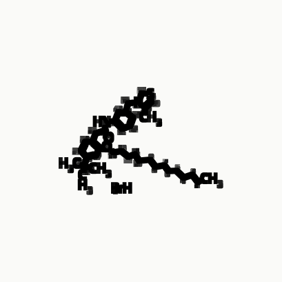 Br.CCCCCCCCCCCCCCOc1cc(C(C)(C)C)ccc1CC(=O)Nc1cccc(CN2CSC=C2C)c1